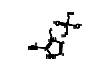 CCCCc1[nH]cc[n+]1C.O=P([O-])(F)F